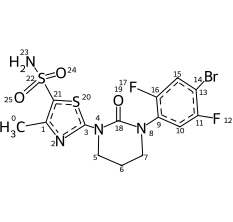 Cc1nc(N2CCCN(c3cc(F)c(Br)cc3F)C2=O)sc1S(N)(=O)=O